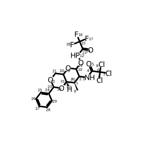 C[C@@H]1C(NC(=O)C(Cl)(Cl)Cl)C(OPC(=O)C(F)(F)F)OC2COC(c3ccccc3)O[C@H]21